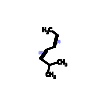 C/C=C\C=C/C(C)C